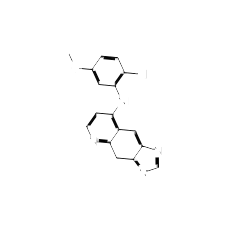 COc1ccc(Cl)c(Nc2ccnc3c2C=C2N=CN=C2C3)c1